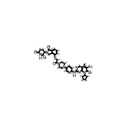 CC(=O)c1c(C)c2cnc(Nc3ccc(N4CCN(C(=O)CSc5cccc6c5CN(C5CCC(=O)NC5=O)C6=O)CC4)cn3)nc2n(C2CCCC2)c1=O